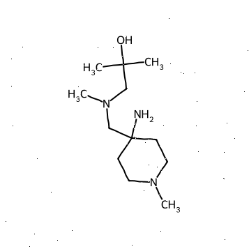 CN1CCC(N)(CN(C)CC(C)(C)O)CC1